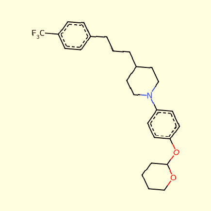 FC(F)(F)c1ccc(CCCC2CCN(c3ccc(OC4CCCCO4)cc3)CC2)cc1